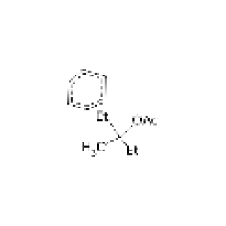 CCC(C)(CC)OC(C)=O.c1ccccc1